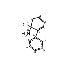 NC1(Cl)CC=CC=C1c1ccccc1